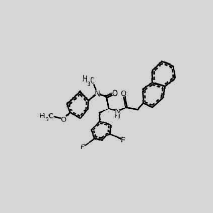 COc1ccc(N(C)C(=O)[C@H](Cc2cc(F)cc(F)c2)NC(=O)Cc2ccc3ccccc3c2)cc1